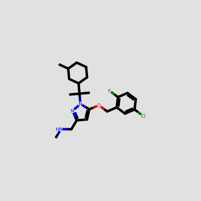 CNCc1cc(OCc2cc(Cl)ccc2F)n(C(C)(C)C2CCCC(C)C2)n1